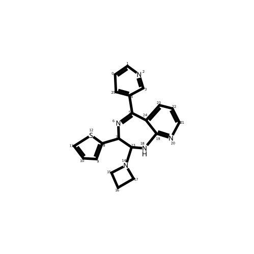 c1cncc(C2=NC(c3cccs3)C(N3CCC3)Nc3ncccc32)c1